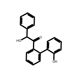 O=C(c1ccccc1-c1ccccc1O)C(O)c1ccccc1